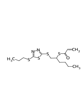 C=CC(=O)SC(CCCC)CSc1nnc(SCCC)s1